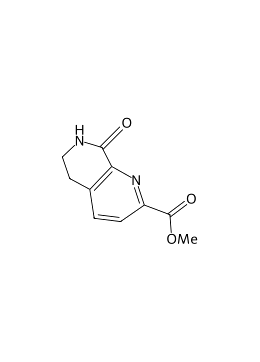 COC(=O)c1ccc2c(n1)C(=O)NCC2